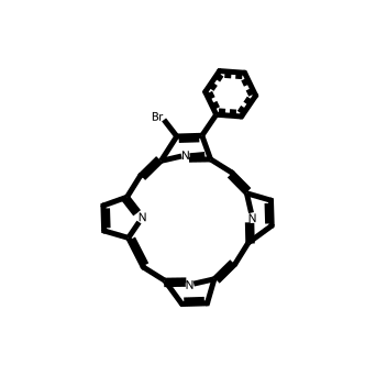 BrC1=C(c2ccccc2)C2=NC1=CC1=NC(=CC3=NC(=CC4=NC(=C2)C=C4)C=C3)C=C1